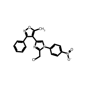 Cc1onc(-c2ccccc2)c1-c1cn(-c2ccc([N+](=O)[O-])cc2)c(CCl)n1